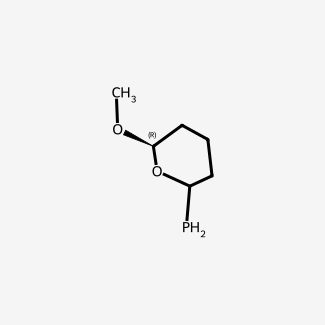 CO[C@H]1CCCC(P)O1